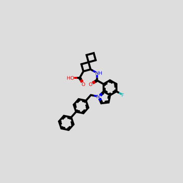 O=C(NC1C(C(=O)O)CC12CCC2)c1ccc(F)c2ccn(Cc3ccc(-c4ccccc4)cc3)c12